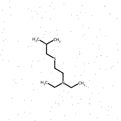 CCN(CC)CCSCC(C)C